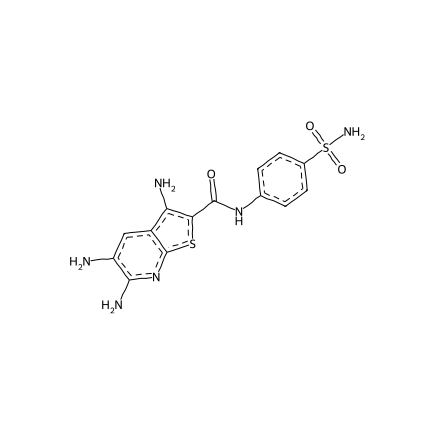 Nc1cc2c(N)c(C(=O)Nc3ccc(S(N)(=O)=O)cc3)sc2nc1N